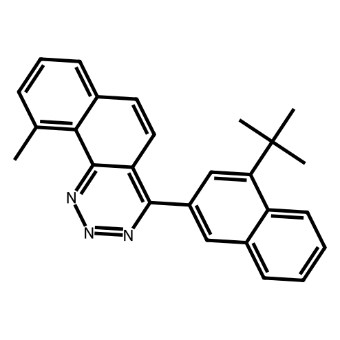 Cc1cccc2ccc3c(-c4cc(C(C)(C)C)c5ccccc5c4)nnnc3c12